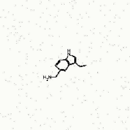 CCc1c[nH]c2ccc(CN)cc12